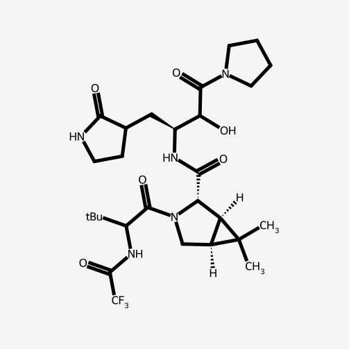 CC(C)(C)C(NC(=O)C(F)(F)F)C(=O)N1C[C@H]2[C@@H]([C@H]1C(=O)N[C@@H](CC1CCNC1=O)C(O)C(=O)N1CCCC1)C2(C)C